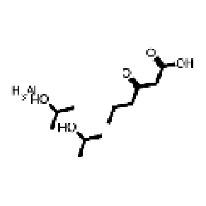 CC(C)O.CC(C)O.CCCC(=O)CC(=O)O.[AlH3]